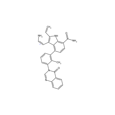 C=Cc1[nH]c2c(C(N)=O)ccc(-c3cccc(-n4cnc5ccccc5c4=O)c3C)c2c1/C=C\N